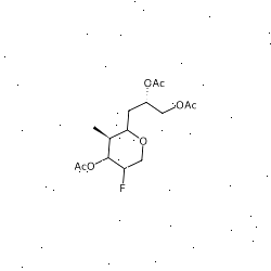 CC(=O)OC[C@H](CC1OCC(F)C(OC(C)=O)[C@H]1C)OC(C)=O